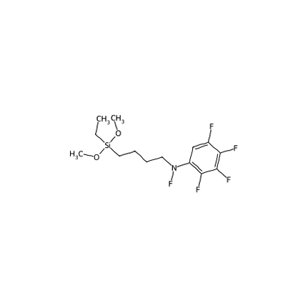 CC[Si](CCCCN(F)c1cc(F)c(F)c(F)c1F)(OC)OC